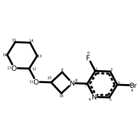 Fc1cc(Br)cnc1N1CC(OC2CCCCO2)C1